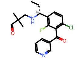 CC[C@@H](NCC(C)(C)C=O)c1ccc(Cl)c(C(=O)c2cccnc2)c1F